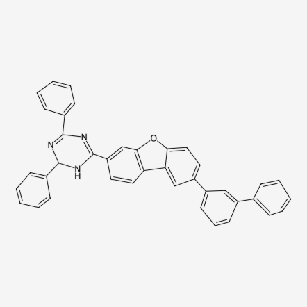 c1ccc(C2=NC(c3ccccc3)NC(c3ccc4c(c3)oc3ccc(-c5cccc(-c6ccccc6)c5)cc34)=N2)cc1